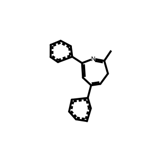 CC1=NC(c2ccccc2)=CC(c2ccccc2)=CC1